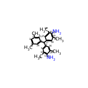 Cc1cc(C)cc(C(c2cc(C)c(N)c(C)c2)c2cc(C)c(N)c(C)c2)c1